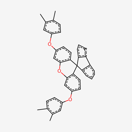 Cc1ccc(Oc2ccc3c(c2)Oc2cc(Oc4ccc(C)c(C)c4)ccc2C32c3ccccc3-c3ccccc32)cc1C